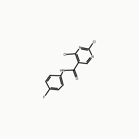 O=C(Nc1ccc(F)cc1)c1cnc(Cl)nc1Cl